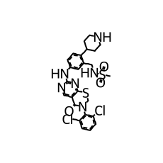 CS(=O)(=O)NCc1cc(Nc2ncc3c(n2)SCN(c2c(Cl)cccc2Cl)C3=O)ccc1C1CCNCC1